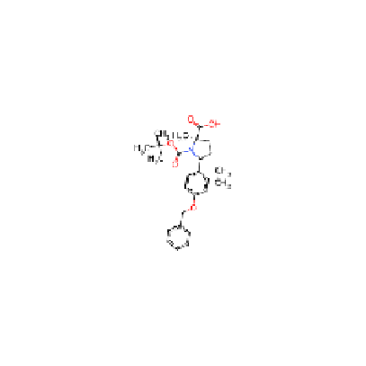 CC.CC(C)(C)OC(=O)N1[C@H](c2ccc(OCc3ccccc3)cc2)CC[C@]1(C)C(=O)O